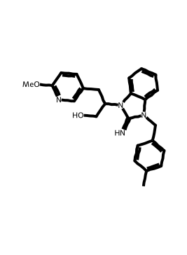 COc1ccc(CC(CO)n2c(=N)n(Cc3ccc(C)cc3)c3ccccc32)cn1